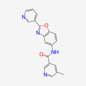 Cc1cncc(C(=O)Nc2ccc3oc(-c4cccnc4)nc3c2)c1